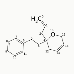 C=CCC1(CCc2ccccc2)CC=CCO1